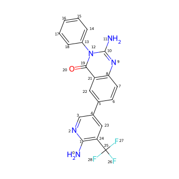 Nc1ncc(-c2ccc3nc(N)n(-c4ccccc4)c(=O)c3c2)cc1C(F)(F)F